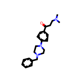 CN(C)CCC(=O)c1ccc(N2CCN(Cc3ccccc3)CC2)cc1